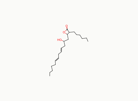 CCCCCC=CCC=CCC(O)CC1OC(=O)C1CCCCCC